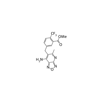 COC(=O)c1cc(Cc2c(C)nc3nonc3c2N)ccc1C(F)(F)F